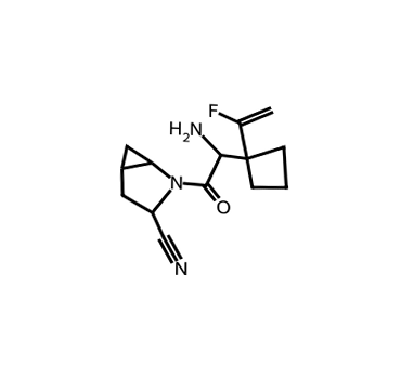 C=C(F)C1(C(N)C(=O)N2C(C#N)CC3CC32)CCC1